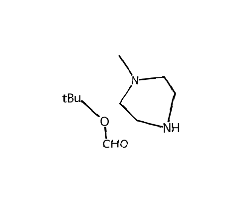 CC(C)(C)OC=O.CN1CCNCC1